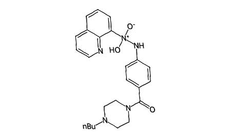 CCCCN1CCN(C(=O)c2ccc(N[N+]([O-])(O)c3cccc4cccnc34)cc2)CC1